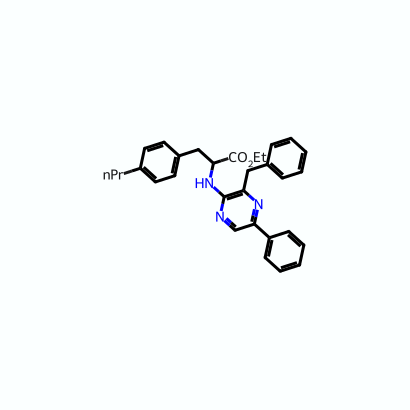 CCCc1ccc(CC(Nc2ncc(-c3ccccc3)nc2Cc2ccccc2)C(=O)OCC)cc1